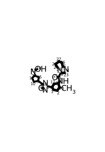 Cc1ccc(-c2noc(C3CCC(=NO)C3)n2)cc1NC(=O)c1cnc2ccccn12